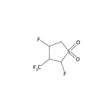 O=S1(=O)CC(F)C(C(F)(F)F)C1F